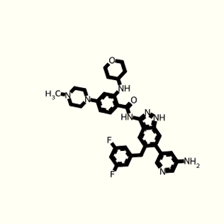 CN1CCN(c2ccc(C(=O)Nc3n[nH]c4cc(-c5cncc(N)c5)c(Cc5cc(F)cc(F)c5)cc34)c(NC3CCOCC3)c2)CC1